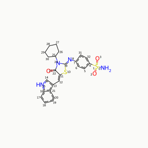 NS(=O)(=O)c1ccc(/N=C2\SC(=Cc3c[nH]c4ccccc34)C(=O)N2C2CCCCC2)cc1